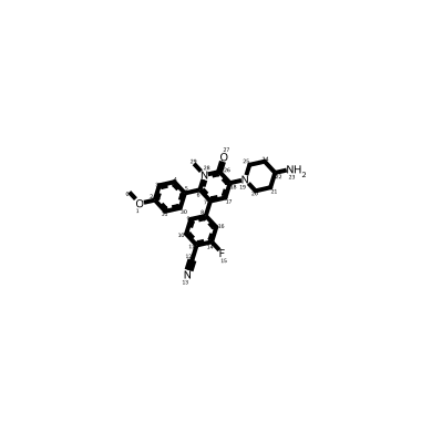 COc1ccc(-c2c(-c3ccc(C#N)c(F)c3)cc(N3CCC(N)CC3)c(=O)n2C)cc1